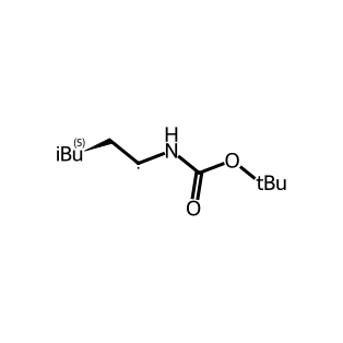 CC[C@H](C)C[CH]NC(=O)OC(C)(C)C